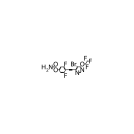 NC(=O)Oc1cc(F)c(C#Cc2ncnc(OC(F)C(F)F)c2Br)c(F)c1